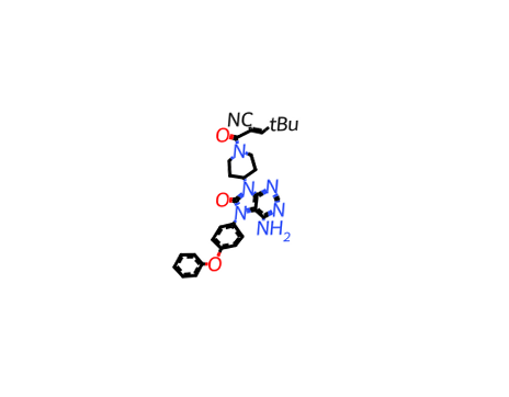 CC(C)(C)C=C(C#N)C(=O)N1CCC(n2c(=O)n(-c3ccc(Oc4ccccc4)cc3)c3c(N)ncnc32)CC1